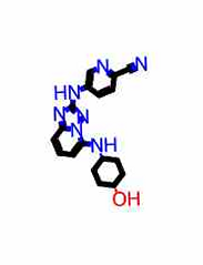 N#Cc1ccc(Nc2nc3cccc(N[C@H]4CC[C@@H](O)CC4)n3n2)cn1